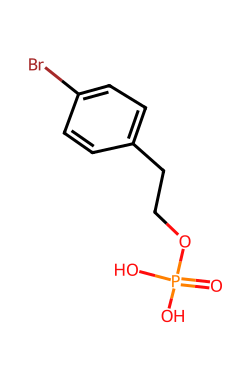 O=P(O)(O)OCCc1ccc(Br)cc1